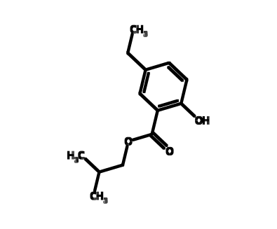 CCc1ccc(O)c(C(=O)OCC(C)C)c1